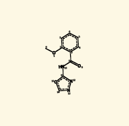 COc1ccccc1C(=O)Nc1nnco1